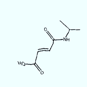 CC(C)NC(=O)/C=C/C(=O)O